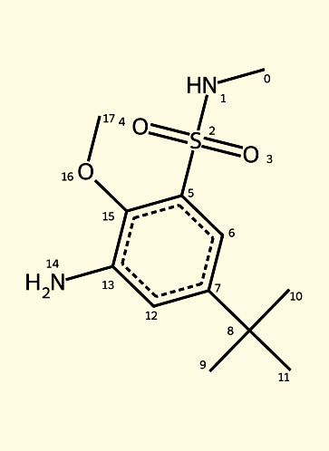 CNS(=O)(=O)c1cc(C(C)(C)C)cc(N)c1OC